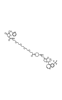 CC(C1=c2cc(C(F)(F)F)ccc2=NC=CC1)[C@H]1CCN(CCNC2CCN(C(=O)CCOCCOCCOCCOCCNC(=O)[C@H]3CC(=O)N(C)[C@@H]3c3cccnc3)CC2)C1=O